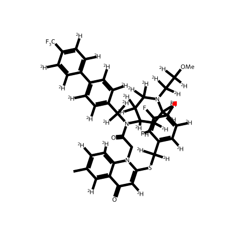 [2H]c1c([2H])c(F)c(F)c(C([2H])([2H])Sc2c([2H])c(=O)c3c([2H])c(C)c([2H])c([2H])c3n2CC(=O)N(C([2H])([2H])c2c([2H])c([2H])c(-c3c([2H])c([2H])c(C(F)(F)F)c([2H])c3[2H])c([2H])c2[2H])C2([2H])C([2H])([2H])C([2H])([2H])N(C([2H])([2H])C([2H])([2H])OC)C([2H])([2H])C2([2H])[2H])c1[2H]